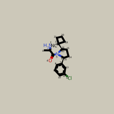 CC(N)C(=O)N1[C@H](c2cccc(Cl)c2)CC[C@@H]1C1(C#N)CCC1